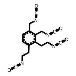 O=C=NCCc1ccc(CN=C=O)c(CN=C=O)c1CCN=C=O